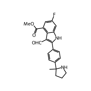 COC(=O)c1cc(F)cc2[nH]c(-c3ccc(C4(C)CCCN4)cc3)c(C=O)c12